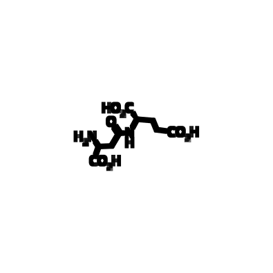 NC(CC(=O)N[C@H](CCC(=O)O)C(=O)O)C(=O)O